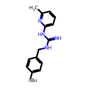 CCCCc1ccc(CNC(=N)Nc2cccc(C)n2)cc1